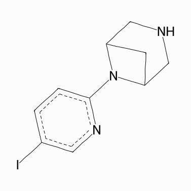 Ic1ccc(N2C3CNCC2C3)nc1